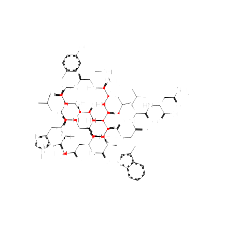 CC(C)C[C@H](NC(=O)[C@H](Cc1c[nH]c2ccccc12)NC(=O)[C@H](CCCCN)NC(=O)[C@H](CC(N)=O)NC(=O)[C@H](C)NC(=O)[C@H](CCCCN)NC(=O)[C@H](CCC(=O)O)NC(=O)[C@H](CC(C)C)NC(=O)[C@H](Cc1ccc(O)cc1)NC(=O)[C@H](CO)NC(=O)[C@H](CC(C)C)NC(=O)[C@H](CC(C)C)NC(=O)[C@H](CCC(=O)O)NC(=O)[C@@H](N)Cc1c[nH]cn1)C(=O)N[C@@H](CC(N)=O)C(=O)O